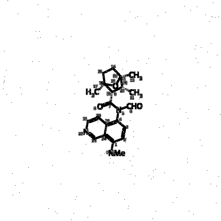 CNc1ccc(N(C=O)C(=O)[C@H]2[C@@H](C)[C@]3(C)CC[C@@]2(C)O3)c2ccncc12